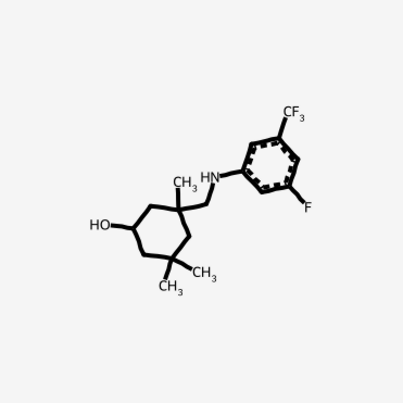 CC1(C)CC(O)CC(C)(CNc2cc(F)cc(C(F)(F)F)c2)C1